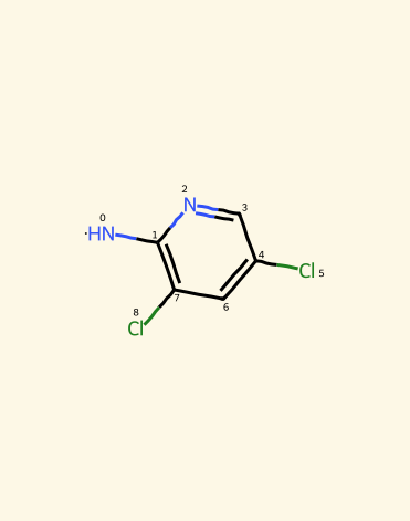 [NH]c1ncc(Cl)cc1Cl